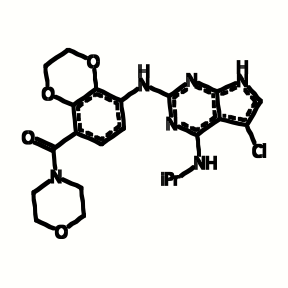 CC(C)Nc1nc(Nc2ccc(C(=O)N3CCOCC3)c3c2OCCO3)nc2[nH]cc(Cl)c12